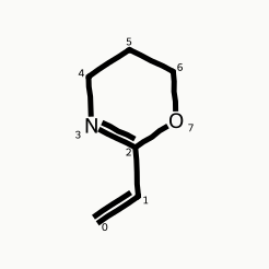 C=CC1=NCCCO1